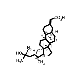 C[C@H](CCC(C)(C)O)[C@H]1CC[C@H]2[C@@H]3CC[C@@H]4CC(=CC(=O)O)CC[C@]4(C)[C@H]3CC[C@]12C